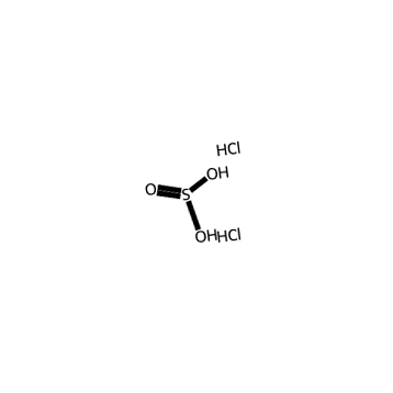 Cl.Cl.O=S(O)O